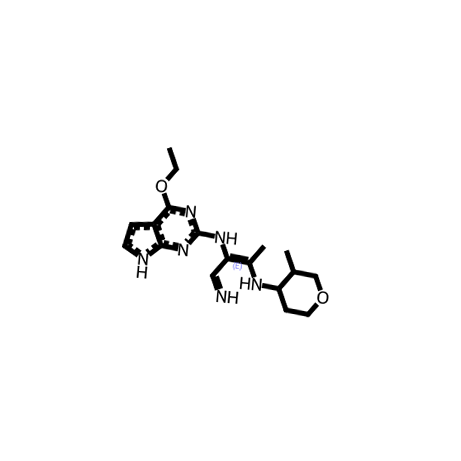 CCOc1nc(N/C(C=N)=C(\C)NC2CCOCC2C)nc2[nH]ccc12